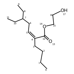 CCCCC(=CCC(CC)CC)C(=O)OCCO